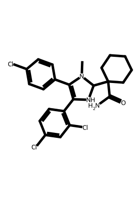 CN1C(c2ccc(Cl)cc2)=C(c2ccc(Cl)cc2Cl)NC1C1(C(N)=O)CCCCC1